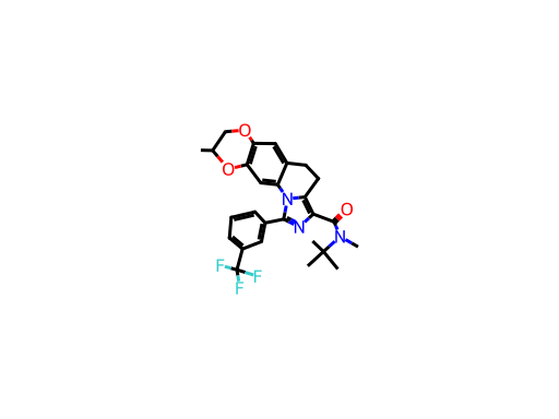 CC1COc2cc3c(cc2O1)-n1c(-c2cccc(C(F)(F)F)c2)nc(C(=O)N(C)C(C)(C)C)c1CC3